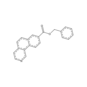 O=C(OCc1ccccc1)c1ccc2c(ccc3ccncc32)c1